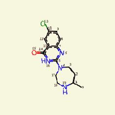 CC1CCN(c2nc3ccc(Cl)cc3c(=O)[nH]2)CCN1